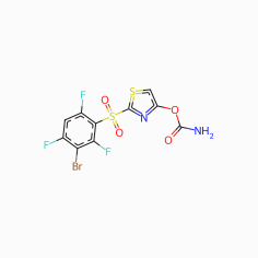 NC(=O)Oc1csc(S(=O)(=O)c2c(F)cc(F)c(Br)c2F)n1